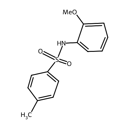 COc1ccccc1NS(=O)(=O)c1ccc(C)cc1